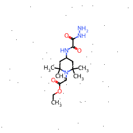 CCOC(=O)CN1C(C)(C)CC(NC(=O)C(=O)NN)CC1(C)C